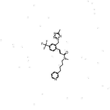 Cc1nnn(Cc2cc(C(F)(F)F)ccc2C=CC(=O)N(C)CCCCc2cccnc2)n1